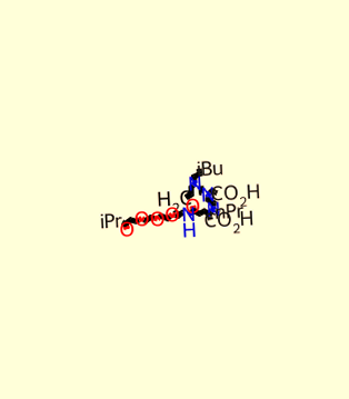 C=CCN(CCC(C)CC)CCN(CCN(CCC)C(CCC(=O)NCCOCCOCCOCCC(=O)C(C)C)C(=O)O)CC(=O)O